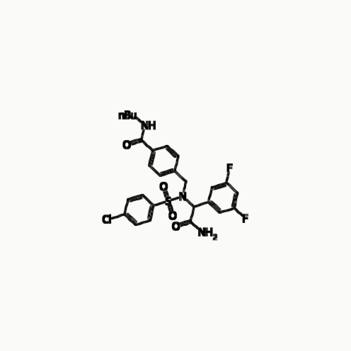 CCCCNC(=O)c1ccc(CN(C(C(N)=O)c2cc(F)cc(F)c2)S(=O)(=O)c2ccc(Cl)cc2)cc1